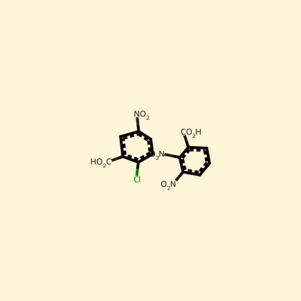 O=C(O)c1cc([N+](=O)[O-])ccc1Cl.O=C(O)c1cccc([N+](=O)[O-])c1[N+](=O)[O-]